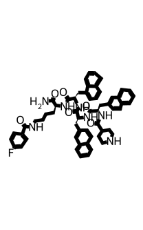 NC(=O)[C@H](CCCCNC(=O)c1ccc(F)cc1)NC(=O)[C@H](Cc1cccc2ccccc12)NC(=O)[C@@H](Cc1ccc2ccccc2c1)NC(=O)[C@@H](Cc1ccc2ccccc2c1)NC(=O)C1CCNCC1